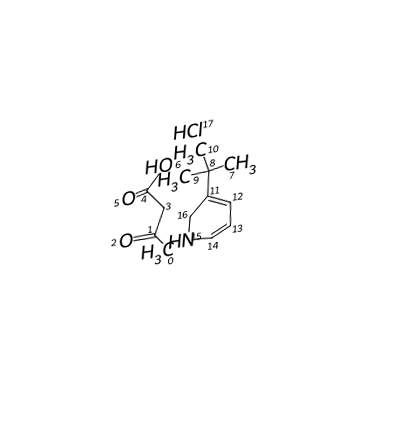 CC(=O)CC(=O)O.CC(C)(C)C1=CC=CNC1.Cl